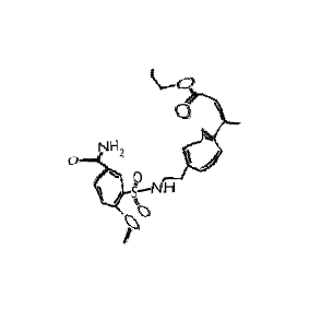 CCOC(=O)/C=C(/C)c1ccc(CCNS(=O)(=O)c2cc(C(N)=O)ccc2OC)cc1